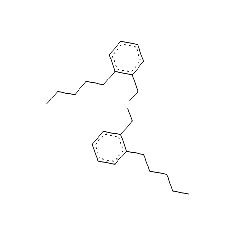 CCCCCc1ccccc1COCc1ccccc1CCCCC